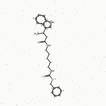 NC(CC(=O)NCCCCCNC(=O)OCc1ccccc1)c1c[nH]c2ccccc12